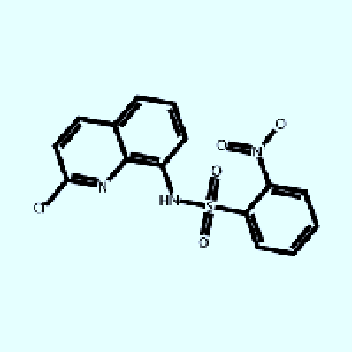 O=[N+]([O-])c1ccccc1S(=O)(=O)Nc1cccc2ccc(Cl)nc12